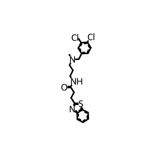 CN(CCCNC(=O)CCc1nc2ccccc2s1)Cc1ccc(Cl)c(Cl)c1